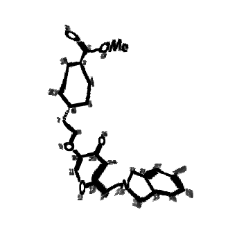 COC(=O)[C@H]1CC[C@H](CCOc2coc(CN3Cc4ccccc4C3)cc2=O)CC1